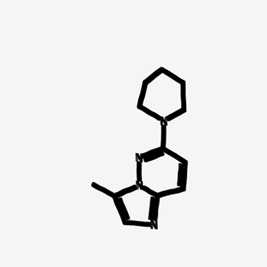 Cc1cnc2ccc(N3CCCCC3)nn12